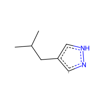 CC(C)Cc1[c]n[nH]c1